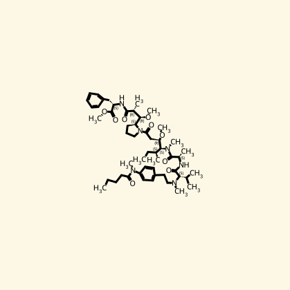 CCCCC(=O)N(C)c1ccc(CCN(C)[C@H](C(=O)N[C@@H](C)C(=O)N(C)[C@@H]([C@@H](C)CC)[C@@H](CC(=O)N2CCC[C@H]2[C@H](OC)[C@@H](C)C(=O)N[C@@H](Cc2ccccc2)C(=O)OC)OC)C(C)C)cc1